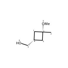 CO[C@]1(C)C[C@H](CO)C1